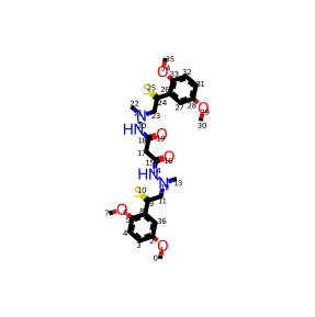 COc1ccc(OC)c(C(=S)CN(C)NC(=O)CC(=O)NN(C)CC(=S)c2cc(OC)ccc2OC)c1